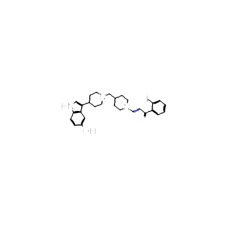 O=C(/C=C/N1CCC(CN2CCC(c3c[nH]c4ccc(O)cc34)CC2)CC1)c1ccccc1Cl